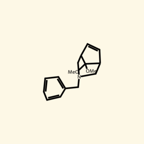 COC1(OC)C2C=CC1CN(Cc1ccccc1)C2